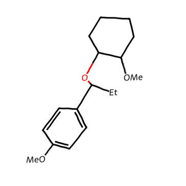 CCC(OC1CCCCC1OC)c1ccc(OC)cc1